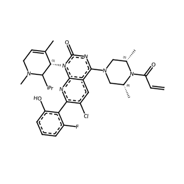 C=CC(=O)N1[C@H](C)CN(c2nc(=O)n([C@H]3C(C)=CCN(C)C3C(C)C)c3nc(-c4c(O)cccc4F)c(Cl)cc23)C[C@@H]1C